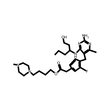 CCCC(CCO)Nc1nc(N)nc(C)c1Cc1ccc(CC(=O)OCCCCN2CCN(C)CC2)cc1F